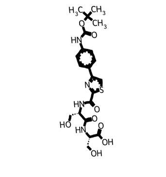 CC(C)(C)OC(=O)Nc1ccc(-c2csc(C(=O)N[C@@H](CO)C(=O)N[C@@H](CO)C(=O)O)n2)cc1